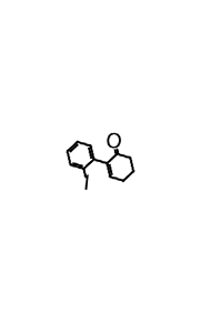 O=C1CCCC=C1c1ccccc1I